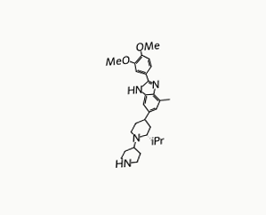 COc1ccc(-c2nc3c(C)cc(C4CCN(C5CCNCC5)[C@@H](C(C)C)C4)cc3[nH]2)cc1OC